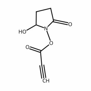 C#CC(=O)ON1C(=O)CCC1O